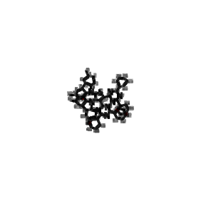 Cc1ccc2c(c1)c1cc(C)ccc1n2-c1sc(-c2nc(-c3ccccc3)nc(-c3ccccc3)n2)c(-c2nc(-c3ccccc3)nc(-c3ccccc3)n2)c1-n1c2ccc(C)cc2c2cc(C)ccc21